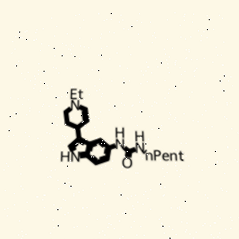 CCCCCNC(=O)Nc1ccc2[nH]cc(C3C=CN(CC)CC3)c2c1